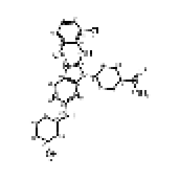 NC(=O)C1CCC(n2c(Nc3c(Cl)cccc3Cl)nc3cnc(N[C@@H]4CCC[C@@H](O)C4)nc32)CC1